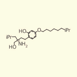 CC(C)CCCCCCOc1ccc(CC[C@@](N)(CO)CC(C)C)c(O)c1